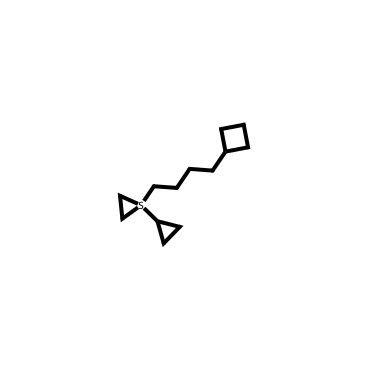 C(CCS1(C2CC2)CC1)CC1CCC1